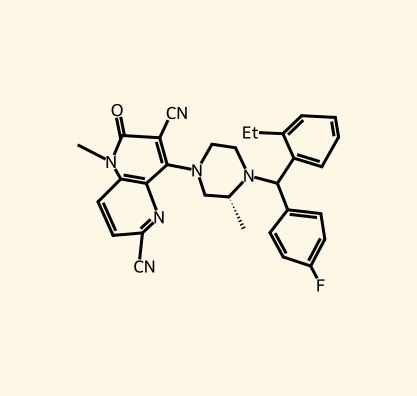 CCc1ccccc1C(c1ccc(F)cc1)N1CCN(c2c(C#N)c(=O)n(C)c3ccc(C#N)nc23)C[C@H]1C